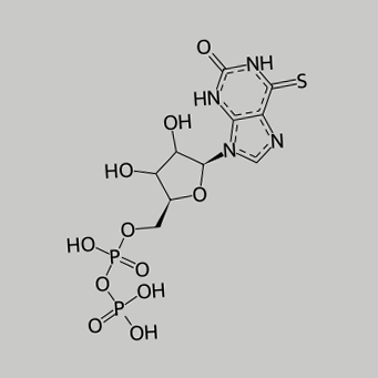 O=c1[nH]c(=S)c2ncn([C@H]3O[C@@H](COP(=O)(O)OP(=O)(O)O)C(O)C3O)c2[nH]1